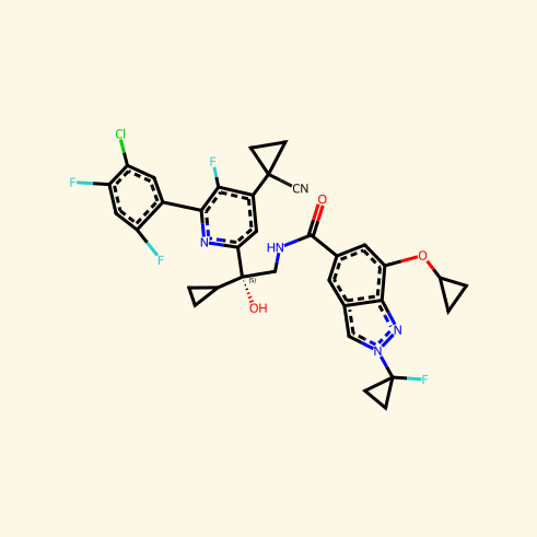 N#CC1(c2cc([C@@](O)(CNC(=O)c3cc(OC4CC4)c4nn(C5(F)CC5)cc4c3)C3CC3)nc(-c3cc(Cl)c(F)cc3F)c2F)CC1